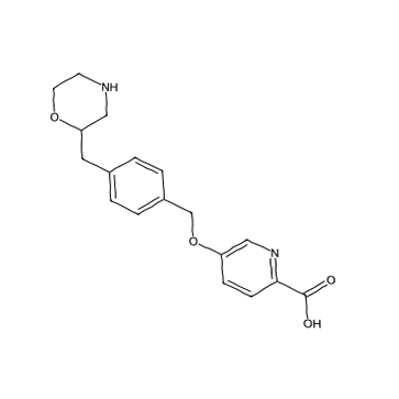 O=C(O)c1ccc(OCc2ccc(CC3CNCCO3)cc2)cn1